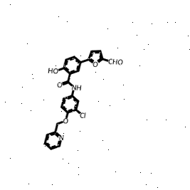 O=Cc1ccc(-c2ccc(O)c(C(=O)Nc3ccc(OCc4ccccn4)c(Cl)c3)c2)o1